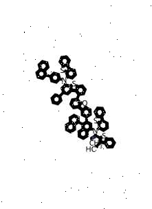 C#Cc1c(/C(=C\C)N(C2=C=C=Cc3c2sc2ccccc32)c2cc(-c3ccc4oc5c(-c6cccc7sc8c(N(c9ccc(-c%10cccc%11ccccc%10%11)cc9)c9cccc%10c9sc9ccccc9%10)cc(-c9ccccc9)cc8c67)cccc5c4c3)c(-c3cccc4ccccc34)c3ccccc23)sc2ccccc12